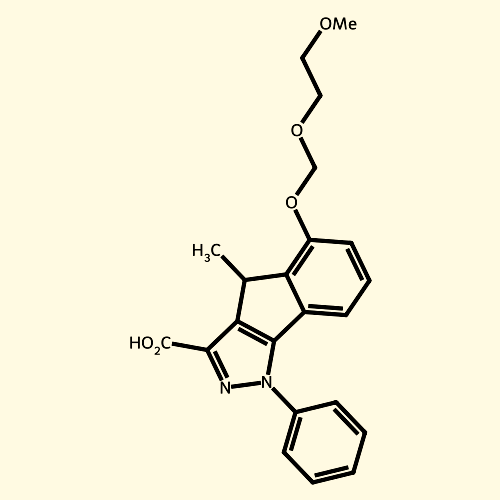 COCCOCOc1cccc2c1C(C)c1c(C(=O)O)nn(-c3ccccc3)c1-2